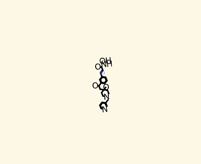 O=C(/C=C/c1ccc2c(c1)C(=O)CC1(CCN(Cc3cccnc3)CC1)O2)NO